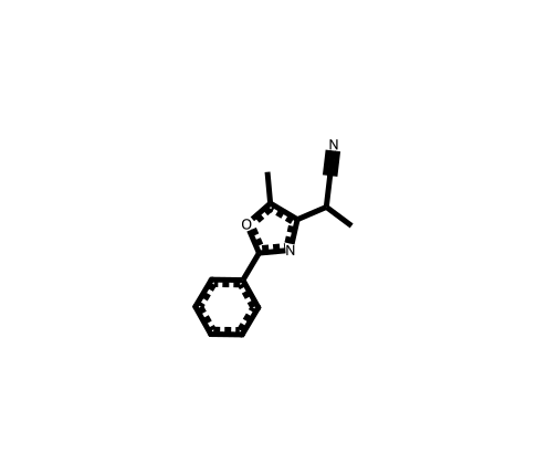 Cc1oc(-c2ccccc2)nc1C(C)C#N